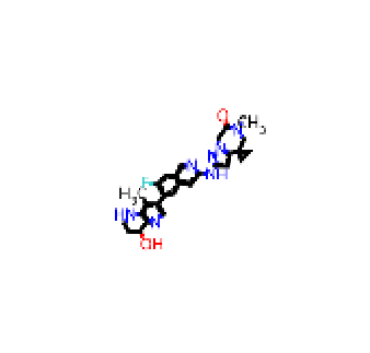 Cc1c(-c2cc3cc(Nc4cc5n(n4)CC(=O)N(C)CC54CC4)ncc3cc2F)cnc2c1NCCC2O